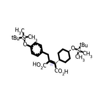 CC(C)(C)[Si](C)(C)Oc1ccc(C/C(C(=O)O)=C(/C(=O)O)[C@H]2CC[C@@H](O[Si](C)(C)C(C)(C)C)CC2)cc1